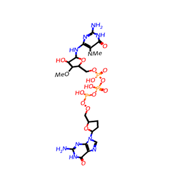 CNc1c(NC2OC(COP(=O)(O)OP(=O)(O)OP(O)OOCC3CCC(n4cnc5c(=O)[nH]c(N)nc54)O3)C(OC)C2O)nc(N)[nH]c1=O